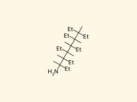 CCC(C)(N)C(C)(CC)C(C)(CC)C(C)(CC)C(C)(CC)C(C)(CC)CC